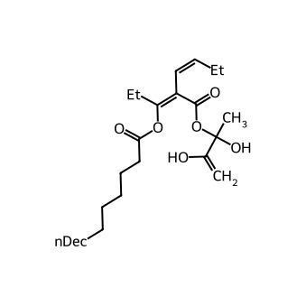 C=C(O)C(C)(O)OC(=O)C(/C=C\CC)=C(/CC)OC(=O)CCCCCCCCCCCCCCC